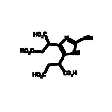 CCCCc1nc(C(CC(=O)O)C(=O)O)c(C(CC(=O)O)C(=O)O)[nH]1